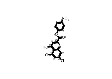 O=C(Oc1ccc([N+](=O)[O-])cc1)c1cc(O)c2c(Cl)cc(Cl)cc2n1